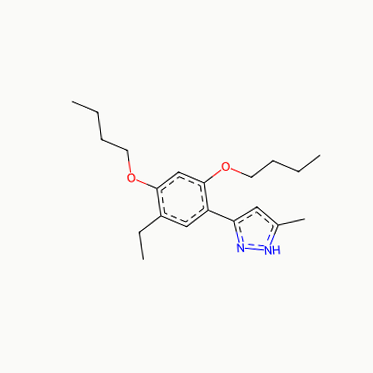 CCCCOc1cc(OCCCC)c(-c2cc(C)[nH]n2)cc1CC